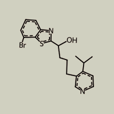 CC(C)c1ccncc1CCCC(O)c1nc2cccc(Br)c2s1